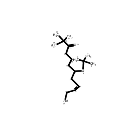 CC(C)(C)OC(C/C=C\CO)CCCC(=O)C(C)(C)C